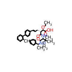 CCO[C@H](C(=O)O)[C@@H](C/C=C/c1ccc(-c2ccccc2C)cc1)C(=O)N[C@H](C(=O)N[C@H](C)c1ccccc1)C(C)(C)C